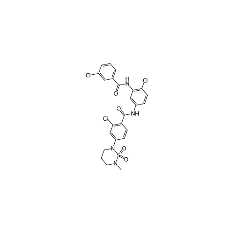 CN1CCCN(c2ccc(C(=O)Nc3ccc(Cl)c(NC(=O)c4cccc(Cl)c4)c3)c(Cl)c2)S1(=O)=O